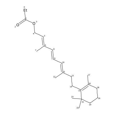 CCC(=O)OC/C=C(C)/C=C/C=C(\C)CCC1=C(C)CCCC1(C)C